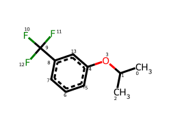 CC(C)Oc1[c]ccc(C(F)(F)F)c1